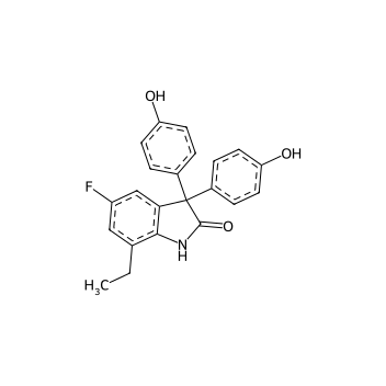 CCc1cc(F)cc2c1NC(=O)C2(c1ccc(O)cc1)c1ccc(O)cc1